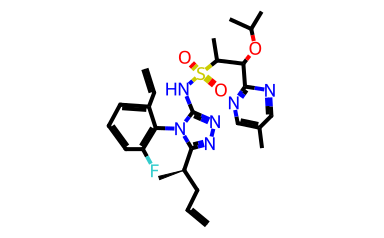 C=CC[C@@H](C)c1nnc(NS(=O)(=O)C(C)C(OC(C)C)c2ncc(C)cn2)n1-c1c(F)cccc1C=C